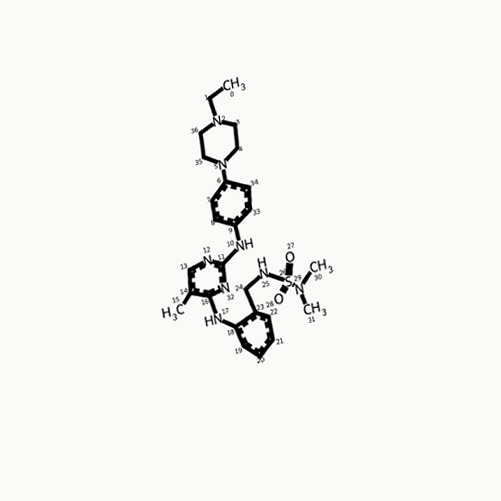 CCN1CCN(c2ccc(Nc3ncc(C)c(Nc4ccccc4CNS(=O)(=O)N(C)C)n3)cc2)CC1